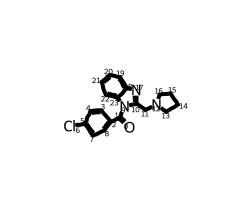 O=C(c1ccc(Cl)cc1)n1c(CN2CCCC2)nc2ccccc21